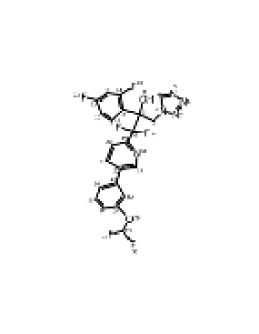 OC(Cn1cnnn1)(c1ccc(F)cc1F)C(F)(F)c1ccc(-c2cccc(OC(F)F)c2)cn1